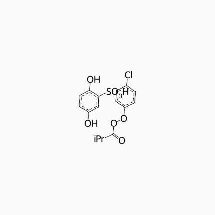 CC(C)C(=O)OOc1ccc(Cl)cc1.O=S(=O)(O)c1cc(O)ccc1O